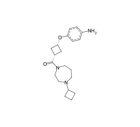 Nc1ccc(O[C@H]2C[C@@H](C(=O)N3CCCN(C4CCC4)CC3)C2)cc1